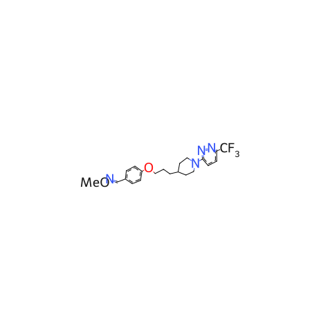 CON=Cc1ccc(OCCCC2CCN(c3ccc(C(F)(F)F)nn3)CC2)cc1